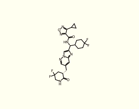 O=C(N[C@H](c1cn2ncc(C[C@H]3CC(F)(F)CNC3=O)cc2n1)C1CCC(F)(F)CC1)c1nonc1C1CC1